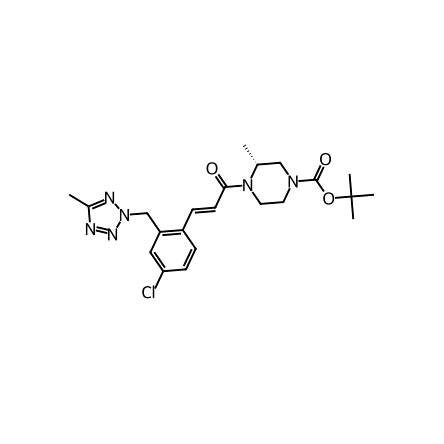 Cc1nnn(Cc2cc(Cl)ccc2/C=C/C(=O)N2CCN(C(=O)OC(C)(C)C)C[C@H]2C)n1